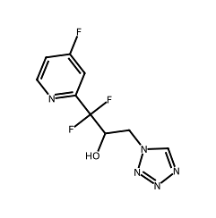 OC(Cn1cnnn1)C(F)(F)c1cc(F)ccn1